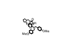 COc1ccc(CN(Cc2ccc(OC)cc2)c2nccc3c2[nH]c(=O)n3CC2CCCN2C(=O)O)cc1